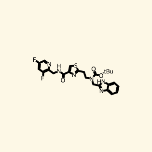 CC(C)(C)OC(=O)N(CCc1nc(C(=O)NCc2ncc(F)cc2F)cs1)Cc1nc2ccccc2[nH]1